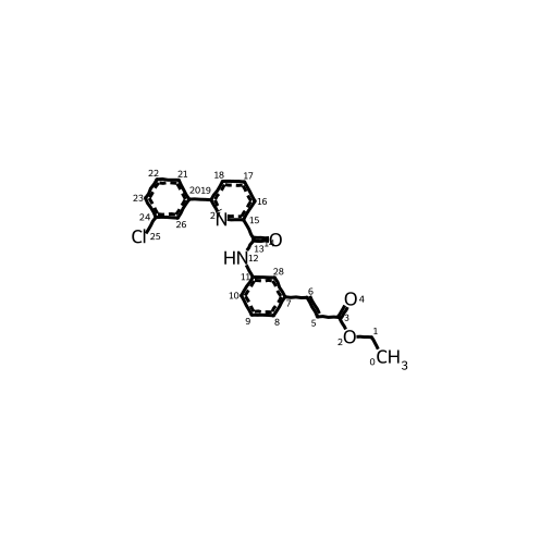 CCOC(=O)C=Cc1cccc(NC(=O)c2cccc(-c3cccc(Cl)c3)n2)c1